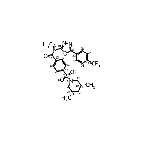 C[C@@H]1C[C@H](C)CN(S(=O)(=O)c2ccc(C(=O)N(C)c3nnc(-c4ccc(C(F)(F)F)cc4)o3)cc2)C1